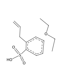 C=CCc1ccccc1S(=O)(=O)O.CCOCC